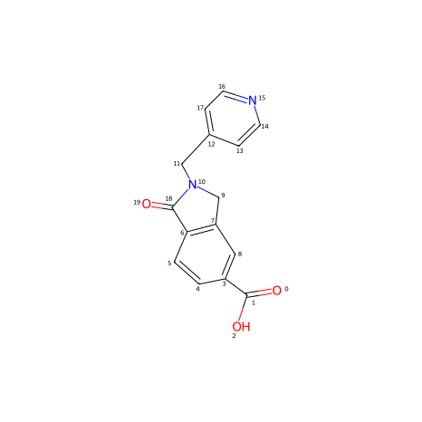 O=C(O)c1ccc2c(c1)CN(Cc1ccncc1)C2=O